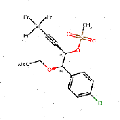 COCO[C@H](c1ccc(Cl)cc1)[C@@H](C#C[Si](C(C)C)(C(C)C)C(C)C)OS(C)(=O)=O